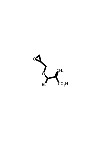 C=C(C(=O)O)C(CC)OCC1CO1